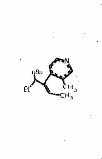 C/C=C(\c1ccncc1C)C(CC)CCCC